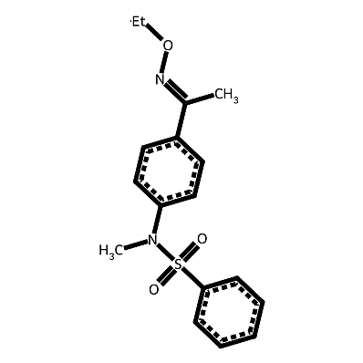 [CH2][CH]ON=C(C)c1ccc(N(C)S(=O)(=O)c2ccccc2)cc1